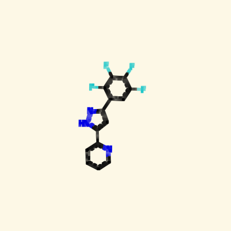 Fc1cc(-c2cc(-c3ccccn3)[nH]n2)c(F)c(F)c1F